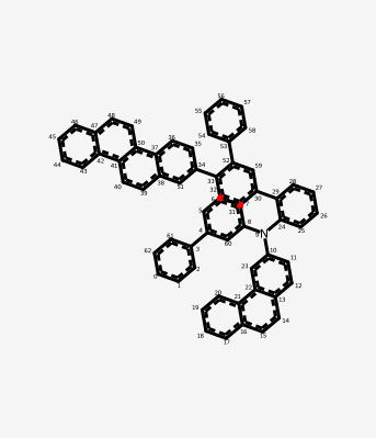 c1ccc(-c2cccc(N(c3ccc4ccc5ccccc5c4c3)c3ccccc3-c3ccc(-c4ccc5c(ccc6c7ccccc7ccc56)c4)c(-c4ccccc4)c3)c2)cc1